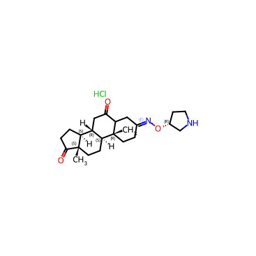 C[C@]12CC/C(=N\O[C@@H]3CCNC3)CC1C(=O)C[C@@H]1[C@@H]2CC[C@]2(C)C(=O)CC[C@@H]12.Cl